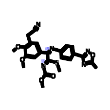 COC(=O)/N=C(SC)/C(=N\c1ccc(-c2noc(C)n2)cc1)c1cc(CC#N)c(OC)c(OC)c1